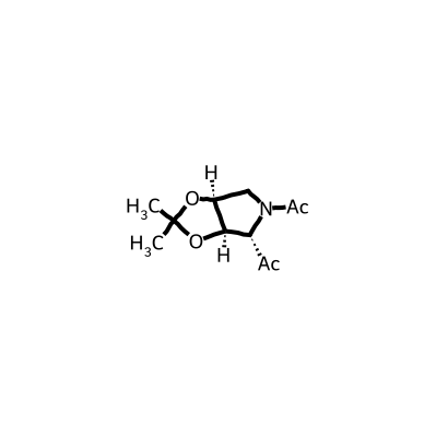 CC(=O)[C@@H]1[C@H]2OC(C)(C)O[C@H]2CN1C(C)=O